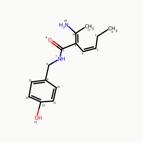 CC/C=C\C(C(=O)NCc1ccc(O)cc1)=C(/C)N